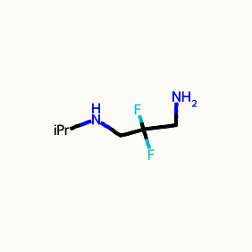 CC(C)NCC(F)(F)CN